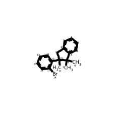 CC1(C)c2ccccc2CC1(C)c1ccccc1Br